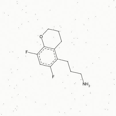 NCCCc1c(F)cc(F)c2c1C[CH]CO2